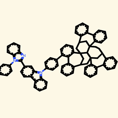 c1ccc(-n2c(-c3ccc4c5ccccc5n(-c5ccc(-c6cccc7c6-c6ccccc6C6CC89CC(CCC%10%11CC(CC7(C6)C%108)c6ccccc6-c6ccccc6%11)c6ccccc6-c6ccccc69)cc5)c4c3)nc3ccccc32)cc1